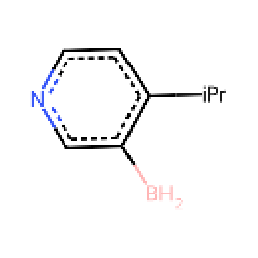 Bc1cnccc1C(C)C